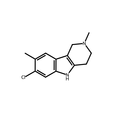 Cc1cc2c3c([nH]c2cc1Cl)CCN(C)C3